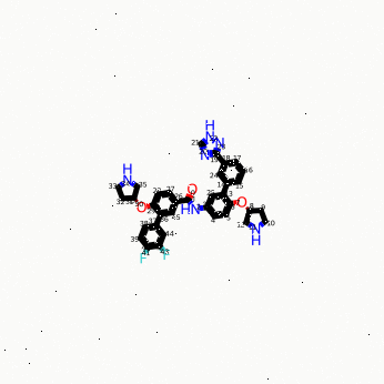 O=C(Nc1ccc(O[C@H]2CCNC2)c(-c2cccc(-c3nc[nH]n3)c2)c1)c1ccc(O[C@H]2CCNC2)c(-c2ccc(F)c(F)c2)c1